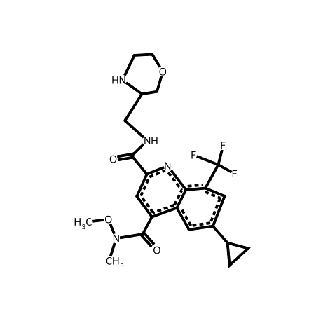 CON(C)C(=O)c1cc(C(=O)NCC2COCCN2)nc2c(C(F)(F)F)cc(C3CC3)cc12